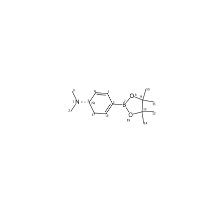 CN(C)[C@@H]1C=CC(B2OC(C)(C)C(C)(C)O2)=CC1